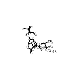 C=C(C)C(=O)OC1C2CC3(CCC1C3C(=O)OC(C(F)(F)F)C(F)(F)S(=O)(=O)O)C(=O)O2